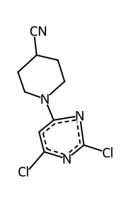 N#CC1CCN(c2cc(Cl)nc(Cl)n2)CC1